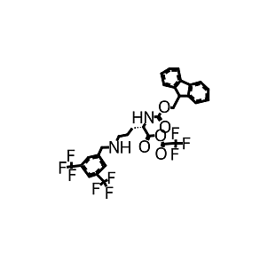 O=C(N[C@@H](CCCNCc1cc(C(F)(F)F)cc(C(F)(F)F)c1)C(=O)OC(=O)C(F)(F)F)OCC1c2ccccc2-c2ccccc21